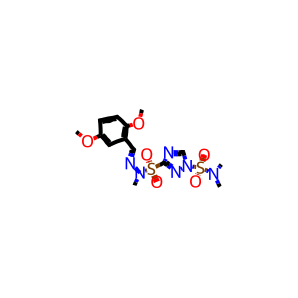 COc1ccc(OC)c(/C=N/N(C)S(=O)(=O)c2ncn(S(=O)(=O)N(C)C)n2)c1